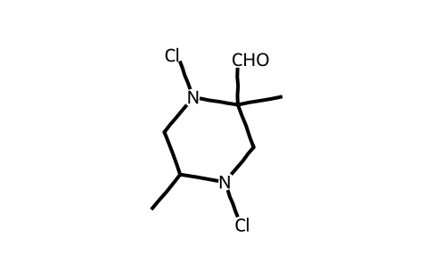 CC1CN(Cl)C(C)(C=O)CN1Cl